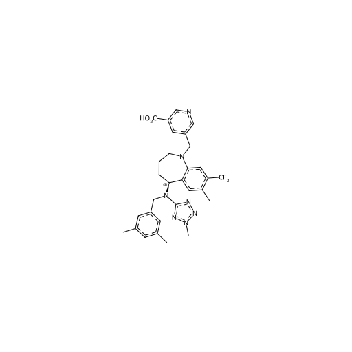 Cc1cc(C)cc(CN(c2nnn(C)n2)[C@H]2CCCN(Cc3cncc(C(=O)O)c3)c3cc(C(F)(F)F)c(C)cc32)c1